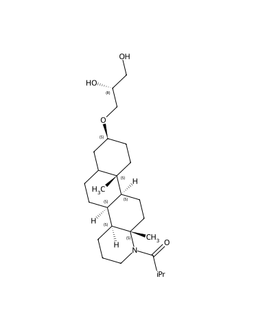 CC(C)C(=O)N1CCC[C@H]2[C@H]3CCC4C[C@@H](OC[C@H](O)CO)CC[C@]4(C)[C@H]3CC[C@@]21C